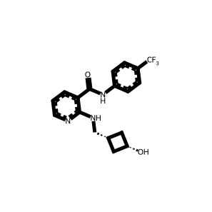 O=C(Nc1ccc(C(F)(F)F)cc1)c1cccnc1NC[C@H]1C[C@@H](O)C1